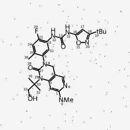 CNc1cc2c(cn1)CN(c1cc(NC(=O)Nc3cc(C(C)(C)C)no3)c(F)cc1C)C(=O)N2C(C)(C)CO